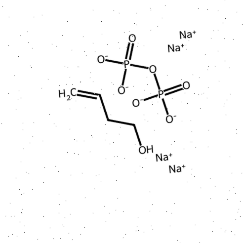 C=CCCO.O=P([O-])([O-])OP(=O)([O-])[O-].[Na+].[Na+].[Na+].[Na+]